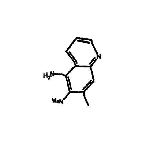 CNc1c(C)cc2ncccc2c1N